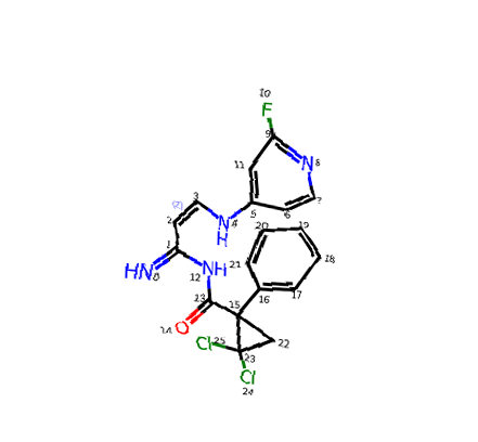 N=C(/C=C\Nc1ccnc(F)c1)NC(=O)C1(c2ccccc2)CC1(Cl)Cl